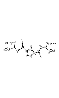 CCCCCCCCC(CCCCCCC)OC(=O)c1ccc(C(=O)OC(CCCCCCC)CCCCCCCC)o1